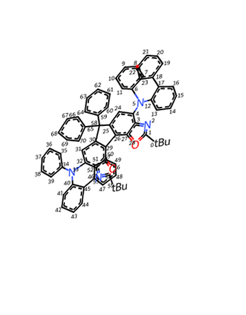 CC(C)(C)c1nc2c(N(c3ccccc3)c3ccccc3-c3ccccc3)cc3c(c2o1)-c1c(cc(N(c2ccccc2)c2ccccc2-c2ccccc2)c2nc(C(C)(C)C)oc12)C3(c1ccccc1)c1ccccc1